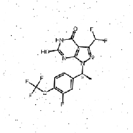 C[C@@H](c1ccc(OC(F)(F)F)c(F)c1)n1nc(C(F)F)c2c(=O)[nH]c(O)nc21